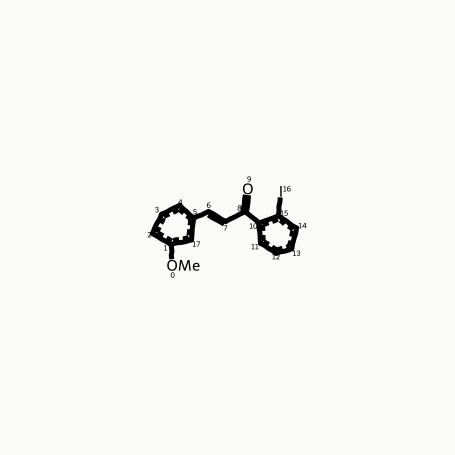 COc1cccc(C=CC(=O)c2ccccc2I)c1